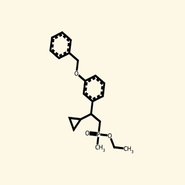 CCOP(C)(=O)CC(c1cccc(OCc2ccccc2)c1)C1CC1